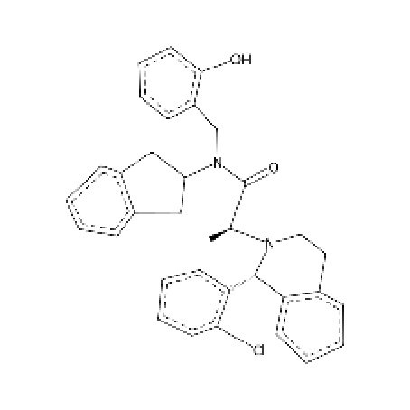 C[C@@H](C(=O)N(Cc1ccccc1O)C1Cc2ccccc2C1)N1CCc2ccccc2[C@@H]1c1ccccc1Cl